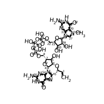 C=CCO[C@H]1C(O)[C@@H](COP(=O)(O)OP(=O)(O)OP(=O)(O)OC[C@H]2O[C@@H](n3c[n+](C)c4c(=O)[nH]c(N)nc43)[C@@H](O)C2O)O[C@H]1n1cnc2c(=O)[nH]c(N)nc21